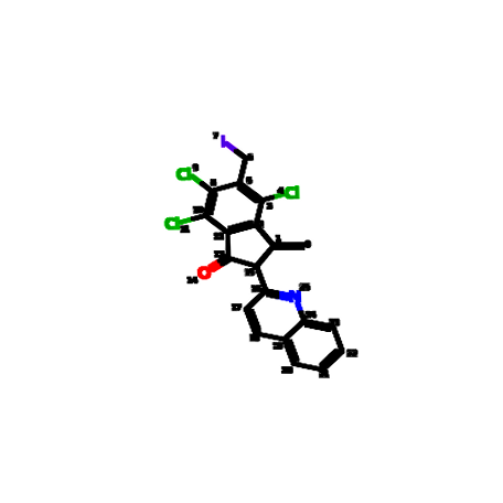 C=C1c2c(Cl)c(CI)c(Cl)c(Cl)c2C(=O)C1c1ccc2ccccc2n1